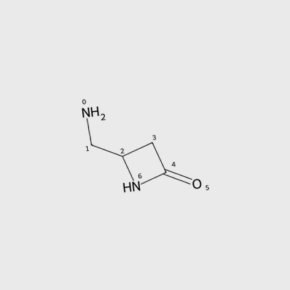 NCC1CC(=O)N1